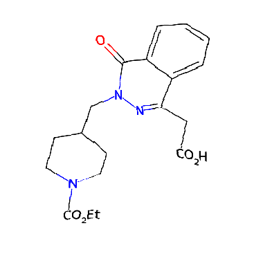 CCOC(=O)N1CCC(Cn2nc(CC(=O)O)c3ccccc3c2=O)CC1